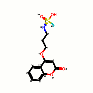 O=c1cc(OCCCN=S(=O)(O)F)c2ccccc2o1